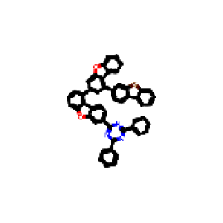 c1ccc(-c2nc(-c3ccccc3)nc(-c3ccc4c(c3)oc3cccc(-c5cc(-c6ccc7c(c6)sc6ccccc67)c6c(c5)oc5ccccc56)c34)n2)cc1